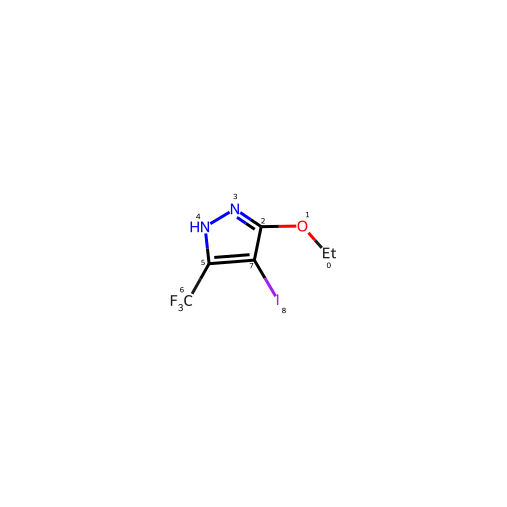 CCOc1n[nH]c(C(F)(F)F)c1I